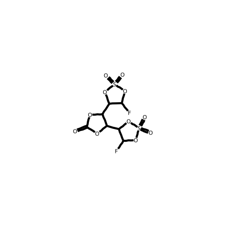 O=C1OC(C2OS(=O)(=O)OC2F)C(C2OS(=O)(=O)OC2F)O1